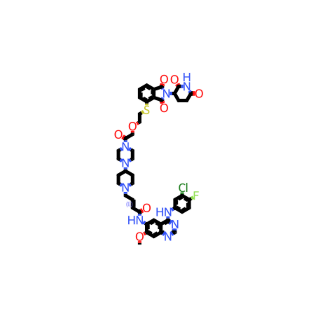 COc1cc2ncnc(Nc3ccc(F)c(Cl)c3)c2cc1NC(=O)/C=C/CN1CCC(N2CCN(C(=O)COCCSc3cccc4c3C(=O)N(C3CCC(=O)NC3=O)C4=O)CC2)CC1